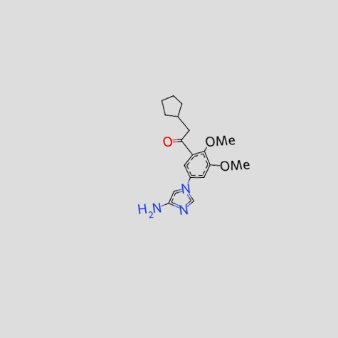 COc1cc(-n2cnc(N)c2)cc(C(=O)CC2CCCC2)c1OC